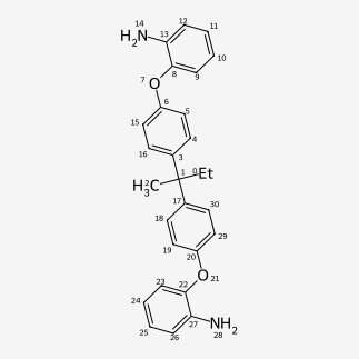 CCC(C)(c1ccc(Oc2ccccc2N)cc1)c1ccc(Oc2ccccc2N)cc1